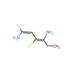 CC/C(N)=C(F)/C=C(\N)F